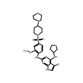 COc1cc(S(=O)(=O)N2CCC(N3CCOCC3)CC2)ccc1Nc1nc(NC2CCOC2)c2c(Cl)c[nH]c2n1